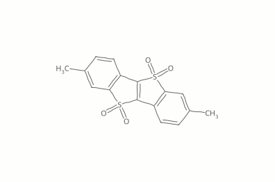 Cc1ccc2c(c1)S(=O)(=O)C1=C2S(=O)(=O)c2cc(C)ccc21